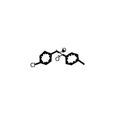 Cc1ccc(S(=O)(=O)[CH]c2ccc(Cl)cc2)cc1